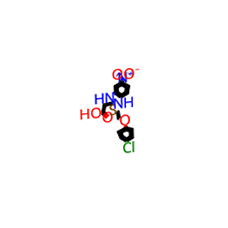 O=C(O)CC1(SCCOc2ccc(Cl)cc2)Nc2ccc([N+](=O)[O-])cc2N1